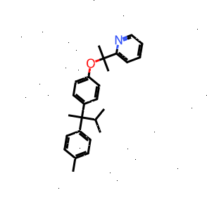 Cc1ccc(C(C)(c2ccc(OC(C)(C)c3ccccn3)cc2)C(C)C)cc1